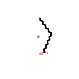 CCCCCCCC/C=C\CCCCCCCC(=O)O.I